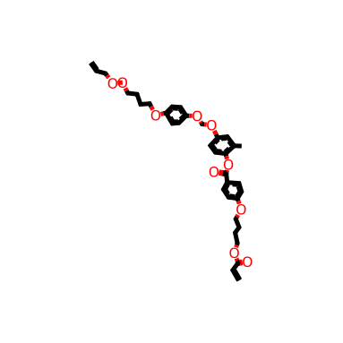 C=CCOOCCCCOc1ccc(OCOc2ccc(OC(=O)c3ccc(OCCCCOC(=O)C=C)cc3)c(C)c2)cc1